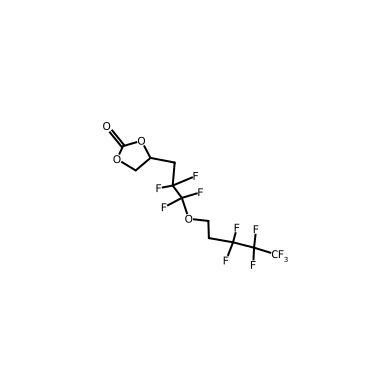 O=C1OCC(CC(F)(F)C(F)(F)OCCC(F)(F)C(F)(F)C(F)(F)F)O1